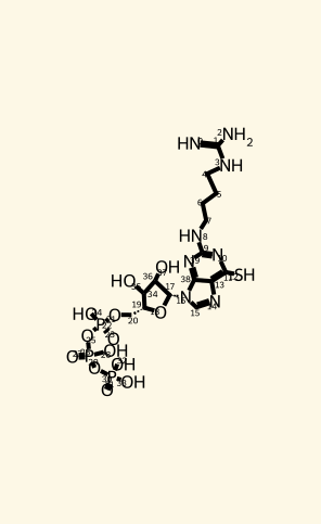 N=C(N)NCCCCNc1nc(S)c2ncn([C@@H]3O[C@H](COP(=O)(O)OP(=O)(O)OP(=O)(O)O)C(O)C3O)c2n1